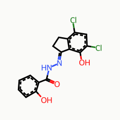 O=C(N/N=C1\CCc2c(Cl)cc(Cl)c(O)c21)c1ccccc1O